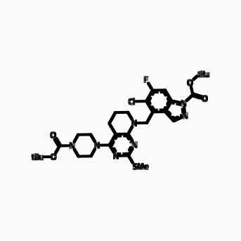 CSc1nc(N2CCN(C(=O)OC(C)(C)C)CC2)c2c(n1)N(Cc1c(Cl)c(F)cc3c1cnn3C(=O)OC(C)(C)C)CCC2